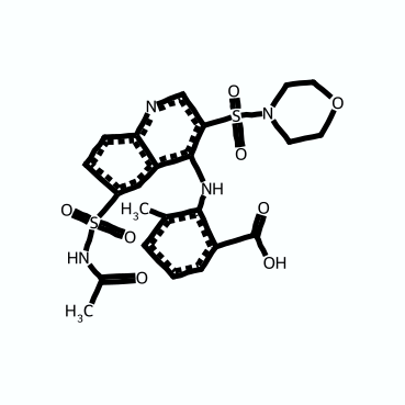 CC(=O)NS(=O)(=O)c1ccc2ncc(S(=O)(=O)N3CCOCC3)c(Nc3c(C)cccc3C(=O)O)c2c1